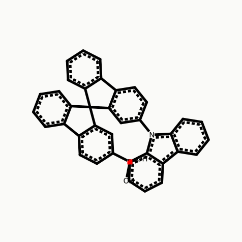 OB(O)c1ccc2c(c1)C1(c3ccccc3-2)c2ccccc2-c2ccc(-n3c4ccccc4c4ccccc43)cc21